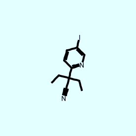 CCC(C#N)(CC)c1ccc(I)cn1